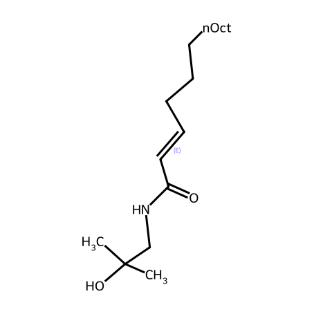 CCCCCCCCCCC/C=C/C(=O)NCC(C)(C)O